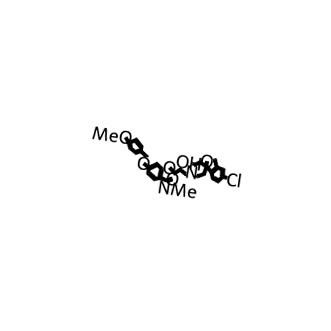 CNC(=O)c1ccc(OCc2ccc(OC)cc2)cc1OC[C@H](O)CN1CCC2(CC1)OCc1cc(Cl)ccc12